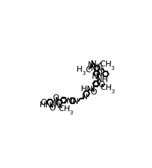 CC[C@@H]1c2nnc(C)n2-c2cnc(Nc3ccc(C(=O)NC4CCN(CCCN5CCN(c6ccc7c(=O)n(C8CCC(=O)NC8=O)nc(C)c7c6)CC5)CC4)cc3OC)nc2N1CC1CCCCC1